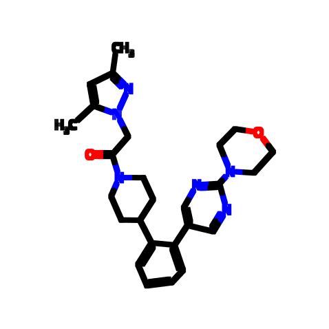 Cc1cc(C)n(CC(=O)N2CCC(c3ccccc3-c3cnc(N4CCOCC4)nc3)CC2)n1